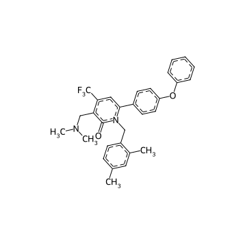 Cc1ccc(Cn2c(-c3ccc(Oc4ccccc4)cc3)cc(C(F)(F)F)c(CN(C)C)c2=O)c(C)c1